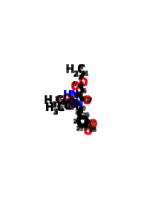 C=CCOC(=O)C[C@H](NC(=O)OC(C)(C)C)C(=O)NCCc1ccc2c(c1)OCO2